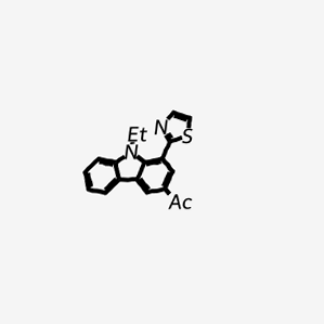 CCn1c2ccccc2c2cc(C(C)=O)cc(-c3nccs3)c21